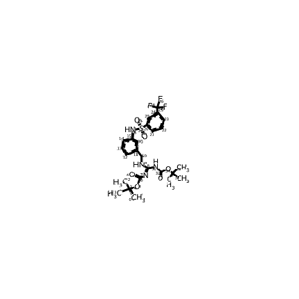 CC(C)(C)OC(=O)/N=C(\NCc1cccc(NS(=O)(=O)c2cccc(C(F)(F)F)c2)c1)NC(=O)OC(C)(C)C